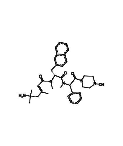 C/C(=C\C(=O)N(C)[C@H](Cc1ccc2ccccc2c1)C(=O)N(C)C(C(=O)N1CCN(O)CC1)c1ccccc1)CC(C)(C)N